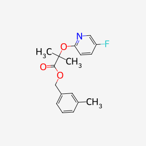 Cc1cccc(COC(=O)C(C)(C)Oc2ccc(F)cn2)c1